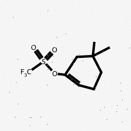 CC1(C)CC[C]=C(OS(=O)(=O)C(F)(F)F)C1